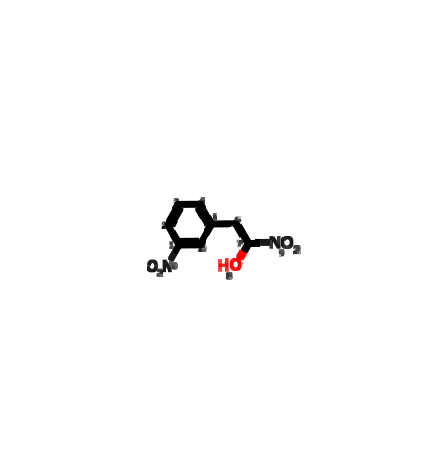 O=[N+]([O-])c1cccc(CC(O)[N+](=O)[O-])c1